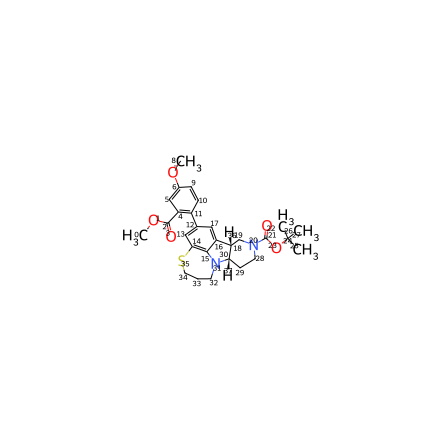 COC(=O)c1cc(OC)ccc1-c1cc2c3c(c1)[C@@H]1CN(C(=O)OC(C)(C)C)CC[C@@H]1N3CCCS2